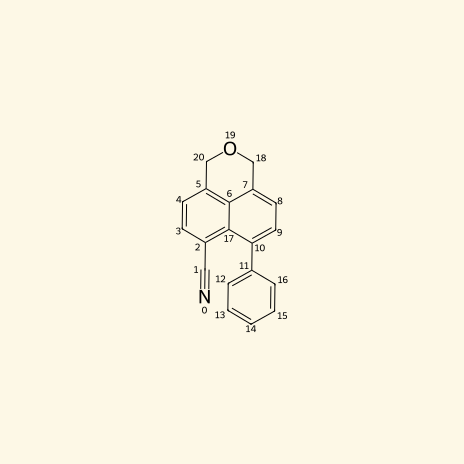 N#Cc1ccc2c3c(ccc(-c4ccccc4)c13)COC2